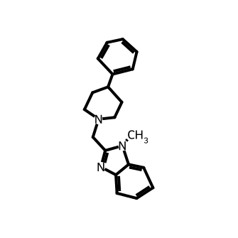 Cn1c(CN2CCC(c3ccccc3)CC2)nc2ccccc21